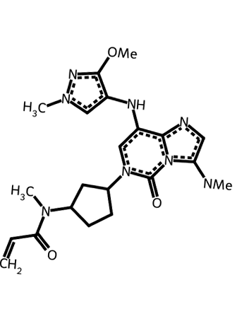 C=CC(=O)N(C)C1CCC(n2cc(Nc3cn(C)nc3OC)c3ncc(NC)n3c2=O)C1